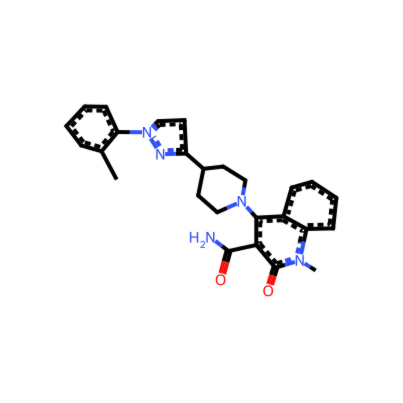 Cc1ccccc1-n1ccc(C2CCN(c3c(C(N)=O)c(=O)n(C)c4ccccc34)CC2)n1